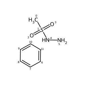 CS(=O)(=O)NN.c1ccccc1